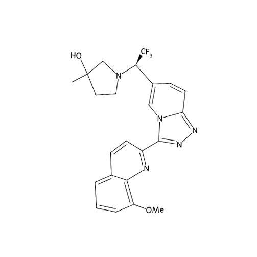 COc1cccc2ccc(-c3nnc4ccc([C@@H](N5CCC(C)(O)C5)C(F)(F)F)cn34)nc12